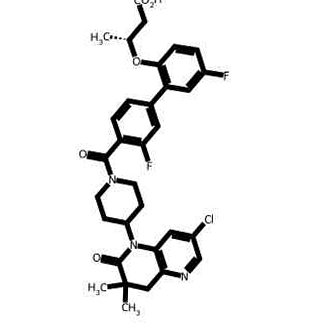 C[C@H](CC(=O)O)Oc1ccc(F)cc1-c1ccc(C(=O)N2CCC(N3C(=O)C(C)(C)Cc4ncc(Cl)cc43)CC2)c(F)c1